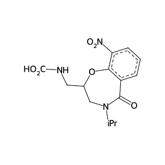 CC(C)N1CC(CNC(=O)O)Oc2c(cccc2[N+](=O)[O-])C1=O